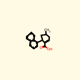 CC1CC=C(C(=O)O)C(c2cccc3ccccc23)C1